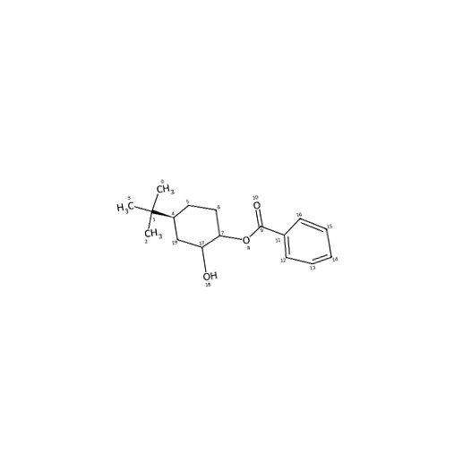 CC(C)(C)[C@H]1CCC(OC(=O)c2ccccc2)C(O)C1